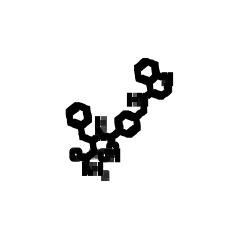 NC(=O)[C@@H](O)C(Cc1ccccc1)NC(=O)c1ccc(CNc2ccnc3ccccc23)cc1